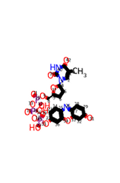 Cc1cn([C@H]2CC[C@@H](COP(=O)(O)OP(=O)(O)OP(=O)(O)Oc3ccc4nc5ccc(=O)cc-5oc4c3)O2)c(=O)[nH]c1=O